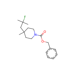 CC(C)(F)CC1(C)CCN(C(=O)OCc2ccccc2)CC1